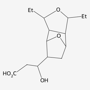 CCC1OC(CC)C2C3OC(CC3C(O)CC(=O)O)C12